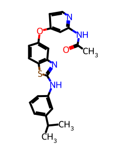 CC(=O)Nc1cc(Oc2ccc3sc(Nc4cccc(C(C)C)c4)nc3c2)ccn1